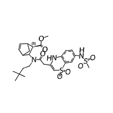 COC(=O)[C@@H]1C2C=CC(C2)C1N(CCC(C)(C)C)C(=O)CC1=CS(=O)(=O)c2cc(NS(C)(=O)=O)ccc2N1